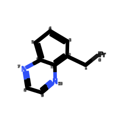 CC(C)Cc1cccc2nccnc12